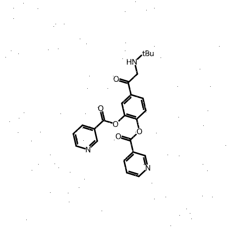 CC(C)(C)NCC(=O)c1ccc(OC(=O)c2cccnc2)c(OC(=O)c2cccnc2)c1